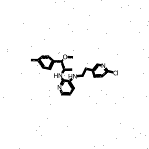 CO[C@H](c1ccc(C)cc1)C(C)Nc1ncccc1NCCc1ccc(Cl)nc1